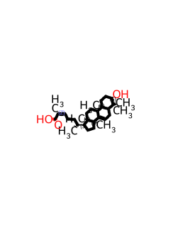 C/C(=C/CCC(C)[C@@H]1CC[C@]2(C)C3=CCC4C(C)(C)[C@@H](O)CC[C@]4(C)C3CC[C@@]12C)C(=O)O